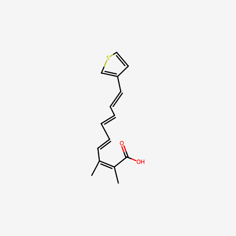 CC(C=CC=CC=Cc1ccsc1)=C(C)C(=O)O